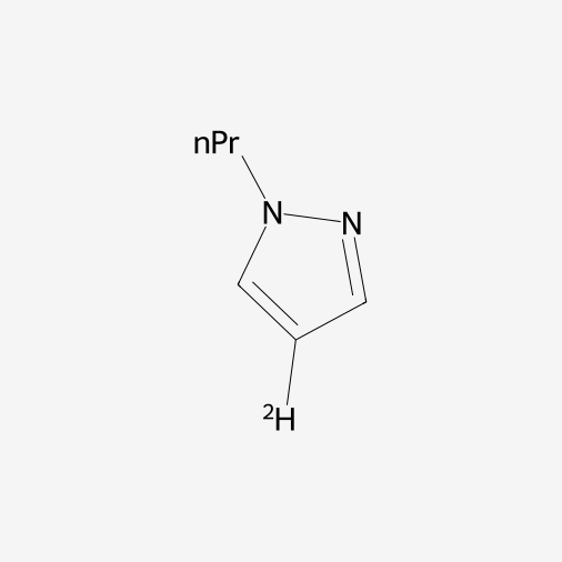 [2H]c1cnn(CCC)c1